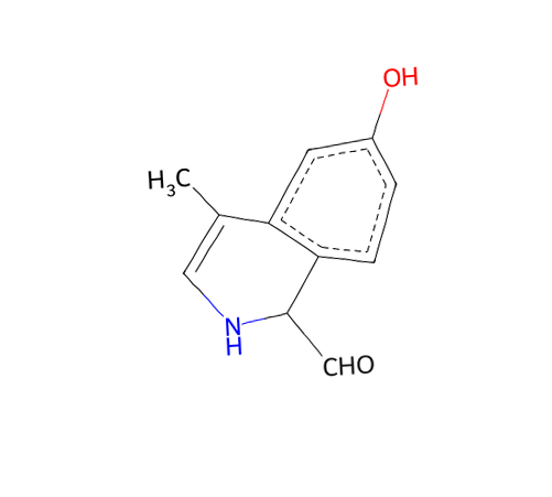 CC1=CNC(C=O)c2ccc(O)cc21